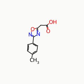 Cc1ccc(-c2noc(CC(=O)O)n2)cc1